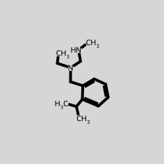 CCN(CNC)Cc1ccccc1C(C)C